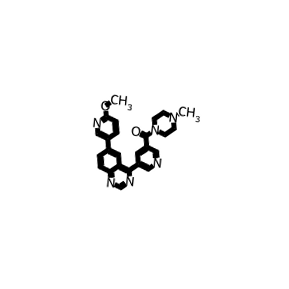 COc1ccc(-c2ccc3ncnc(-c4cncc(C(=O)N5CCN(C)CC5)c4)c3c2)cn1